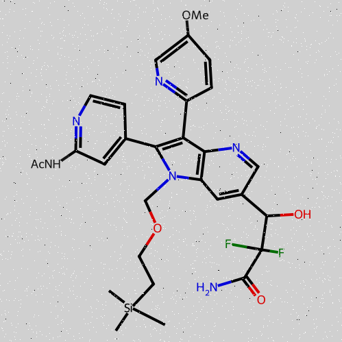 COc1ccc(-c2c(-c3ccnc(NC(C)=O)c3)n(COCC[Si](C)(C)C)c3cc(C(O)C(F)(F)C(N)=O)cnc23)nc1